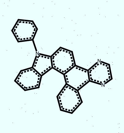 c1ccc(-n2c3ccccc3c3c4c5ccccc5c5nccnc5c4ccc32)cc1